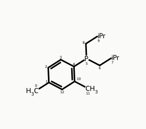 Cc1ccc(P(CC(C)C)CC(C)C)c(C)c1